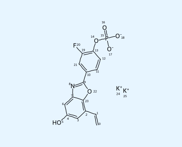 C=Cc1cc(O)cc2nc(-c3ccc(OP(=O)([O-])[O-])c(F)c3)oc12.[K+].[K+]